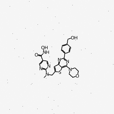 CN(Cc1cc2nc(-c3ccc(CO)cc3)nc(N3CCOCC3)c2s1)c1ncc(C(=O)NO)cn1